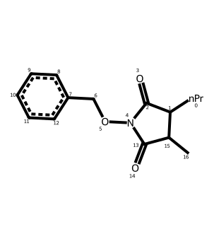 CCCC1C(=O)N(OCc2ccccc2)C(=O)C1C